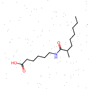 CCCCCCC(C)C(=O)NCCCCCC(=O)O